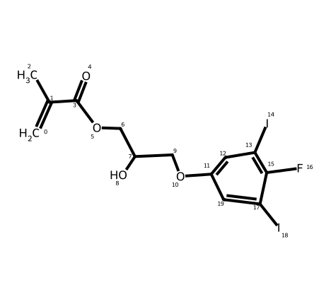 C=C(C)C(=O)OCC(O)COc1cc(I)c(F)c(I)c1